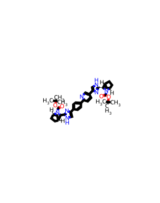 CC(C)(C)OC(=O)N1C(c2nc(-c3ccc(-c4ccc(-c5c[nH]c([C@@H]6[C@H]7CC[C@H](C7)N6C(=O)OC(C)(C)C)n5)cn4)cc3)c[nH]2)[C@H]2CC[C@@H]1C2